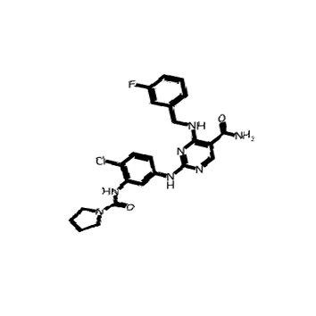 NC(=O)c1cnc(Nc2ccc(Cl)c(NC(=O)N3CCCC3)c2)nc1NCc1cccc(F)c1